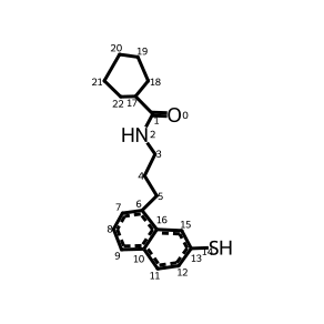 O=C(NCCCc1cccc2ccc(S)cc12)C1CCCCC1